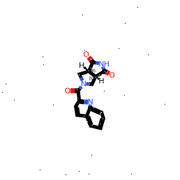 O=C1NC(=O)[C@@H]2CN(C(=O)c3ccc4ccccc4n3)C[C@H]12